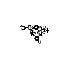 CC(C)(C)OC(=O)C(Cc1ccc(N2CCN(C3CCOCC3)CC2=O)cc1)N1CCN(c2cc(Cl)ccc2-n2cnnn2)C(=O)C1=O